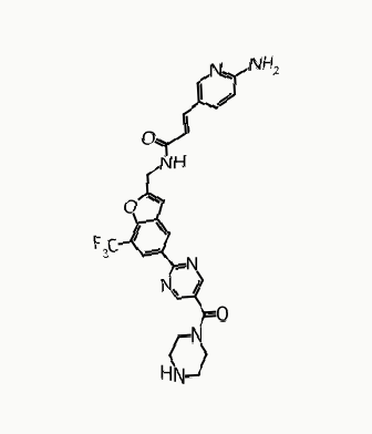 Nc1ccc(C=CC(=O)NCc2cc3cc(-c4ncc(C(=O)N5CCNCC5)cn4)cc(C(F)(F)F)c3o2)cn1